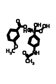 CC(=O)Nc1ccc([As](=O)(O)OO)cc1.COc1cccc(C(=O)O)c1